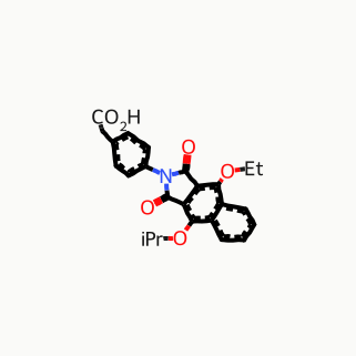 CCOc1c2c(c(OC(C)C)c3ccccc13)C(=O)N(c1ccc(CC(=O)O)cc1)C2=O